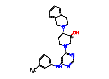 O[C@H]1CN(c2cc(Nc3cccc(C(F)(F)F)c3)ncn2)CCC1N1CCc2ccccc2C1